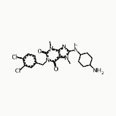 Cn1c(NC2CCC(N)CC2)nc2c1c(=O)n(Cc1ccc(Cl)c(Cl)c1)c(=O)n2C